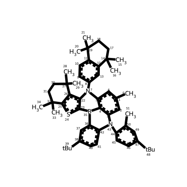 Cc1cc2c3c(c1)N(c1ccc4c(c1)C(C)(C)CCC4(C)C)c1c(sc4c1C(C)(C)CCC4(C)C)B3c1cc(C(C)(C)C)ccc1N2c1ccc(C(C)(C)C)cc1C